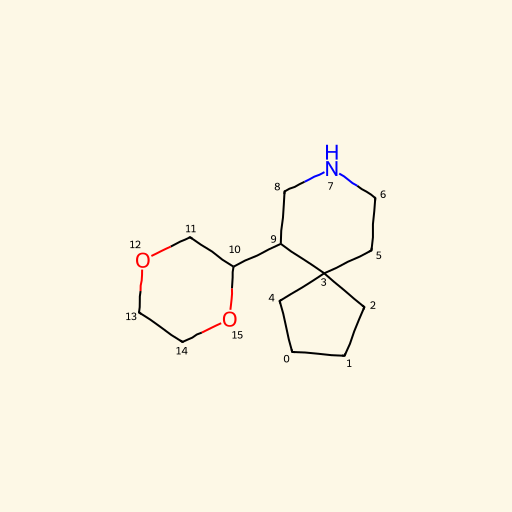 C1CCC2(C1)CCNCC2C1COCCO1